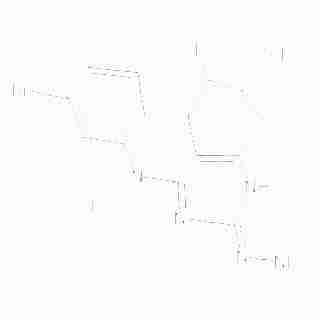 CN(c1cccc(Br)c1)c1n/c(=N/N)[nH]c2cc(Cl)c(Cl)cc12